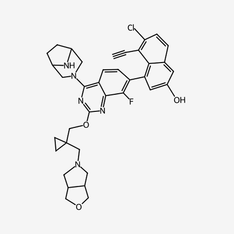 C#Cc1c(Cl)ccc2cc(O)cc(-c3ccc4c(N5CC6CCC(C5)N6)nc(OCC5(CN6CC7COCC7C6)CC5)nc4c3F)c12